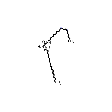 CCCCCC=CCC=CCCCCCCCC(=O)NC(N)C(=O)NCCCCCCCC/C=C\C/C=C\CCCCC